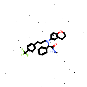 CNC(=O)[C@@H](c1ccccc1)N(CCCc1ccc(C(F)(F)F)cc1)c1ccc2c(c1)CCCO2